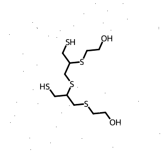 OCCSCC(CS)SCC(CS)SCCO